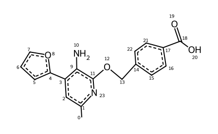 Cc1cc(-c2ccco2)c(N)c(OCc2ccc(C(=O)O)cc2)n1